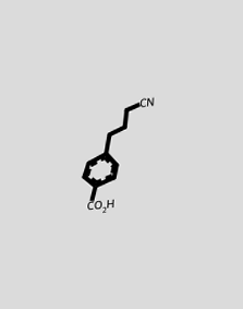 N#CCCCc1ccc(C(=O)O)cc1